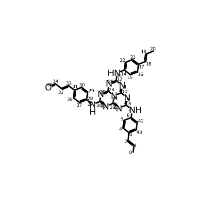 C/C=C/c1ccc(NC2=NC3=NC(Nc4ccc(/C=C/C)cc4)=NC4=NC(Nc5ccc(/C=C/C=O)cc5)=NC(=N2)N34)cc1